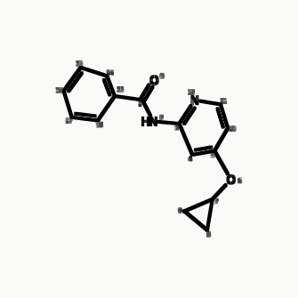 O=C(Nc1cc(OC2CC2)ccn1)c1ccccc1